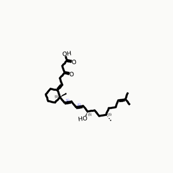 CC(C)=CCC[C@H](C)CC[C@H](O)/C=C/C=C/[C@]1(C)CCCCC1=CCC(=O)CC(=O)O